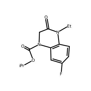 CCN1C(=O)CN(C(=O)OC(C)C)c2cc(F)ccc21